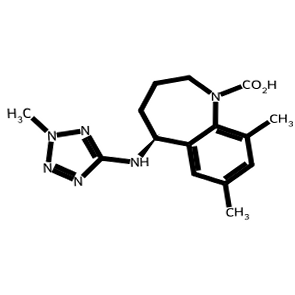 Cc1cc(C)c2c(c1)[C@@H](Nc1nnn(C)n1)CCCN2C(=O)O